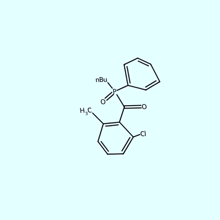 CCCCP(=O)(C(=O)c1c(C)cccc1Cl)c1ccccc1